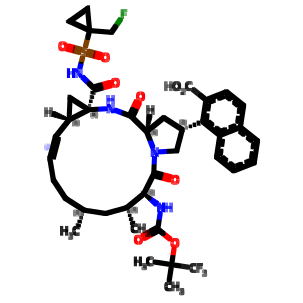 C[C@@H]1CC/C=C\[C@@H]2C[C@@]2(C(=O)NS(=O)(=O)C2(CF)CC2)NC(=O)[C@@H]2C[C@H](c3c(C(=O)O)ccc4ccccc34)CN2C(=O)[C@@H](NC(=O)OC(C)(C)C(F)(F)F)[C@H](C)C1